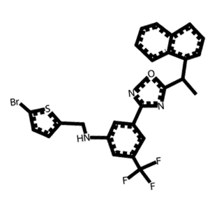 CC(c1nc(-c2cc(NCc3ccc(Br)s3)cc(C(F)(F)F)c2)no1)c1cccc2ccccc12